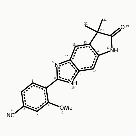 COc1cc(C#N)ccc1-c1nc2cc3c(cc2[nH]1)NC(=O)C3(C)C